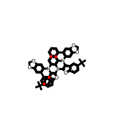 CC(C)(C)c1ccc2oc3c(c2c1)N(c1cc2c(cc1-c1ccccc1)OCO2)c1cccc2c1B3c1oc3ccc(C(C)(C)C)cc3c1N2c1cc2c(cc1-c1ccccc1)OCO2